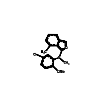 COc1ccc(Cl)cc1N(C)c1occ2cccc(C)c12